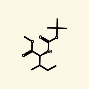 CCC(C)[C@H](NC(=O)OC(C)(C)C)C(=O)OC